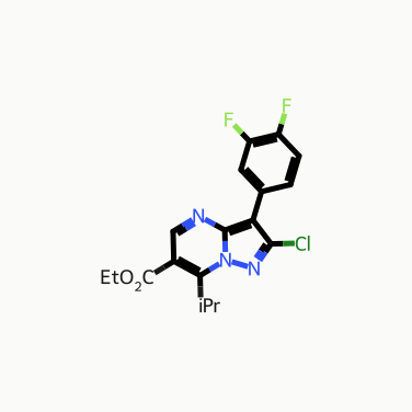 CCOC(=O)c1cnc2c(-c3ccc(F)c(F)c3)c(Cl)nn2c1C(C)C